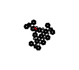 Fc1cccc(F)c1N1c2cc3c(cc2B2c4ccccc4Oc4cc(-n5c(-c6ccccc6)cc6ccccc65)cc1c42)B1c2cc4c(cc2Oc2cc(-n5c(-c6ccccc6)cc6ccccc65)cc(c21)N3c1c(F)cccc1F)Oc1cc(-n2c(-c3ccccc3)cc3ccccc32)cc2c1B4c1ccccc1O2